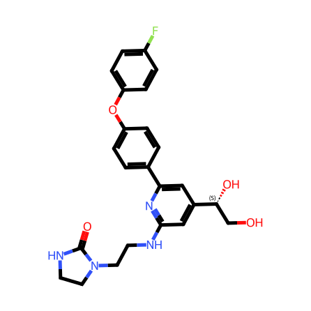 O=C1NCCN1CCNc1cc([C@H](O)CO)cc(-c2ccc(Oc3ccc(F)cc3)cc2)n1